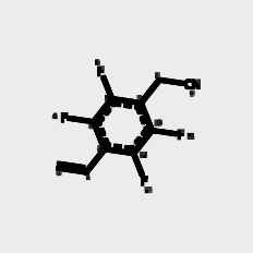 C=Cc1c(F)c(F)c(CC#N)c(F)c1F